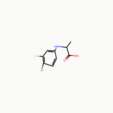 CC(Nc1ccc(Cl)c(F)c1)C(=O)O